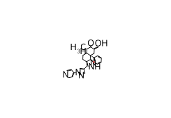 C[C@@H]1C(=O)/C(=C\O)C[C@]2(c3ccccc3)c3n[nH]c(-c4cnn(-c5ccncc5)c4)c3CC[C@@H]12